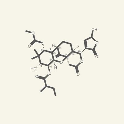 C=C1[C@@H]2CC[C@@]3(C)[C@H](C4=CC(O)OC4=O)OC(=O)C[C@]13O[C@H]1[C@@H](OC(=O)C(C)CC)[C@H](O)C(C)(C)[C@H](CC(=O)OC)[C@@]21C